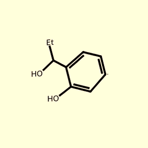 CCC(O)c1cc[c]cc1O